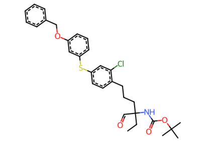 CCC(C=O)(CCCc1ccc(Sc2cccc(OCc3ccccc3)c2)cc1Cl)NC(=O)OC(C)(C)C